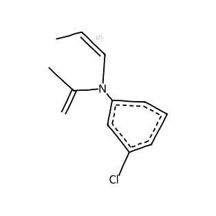 C=C(C)N(/C=C\C)c1cccc(Cl)c1